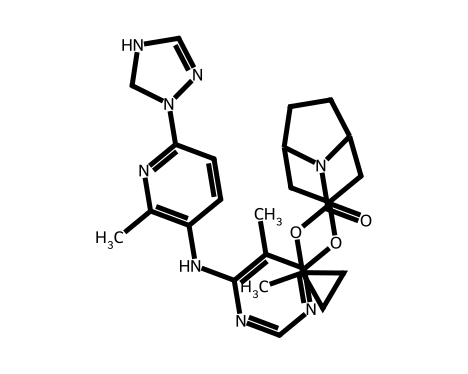 Cc1nc(N2CNC=N2)ccc1Nc1ncnc(OC2CC3CCC(C2)N3C(=O)OC2(C)CC2)c1C